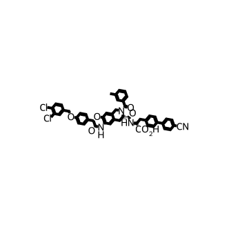 Cc1cccc(C(=O)N2Cc3cc4c(cc3C[C@H]2C(=O)N[C@@H](Cc2ccc(-c3ccc(C#N)cc3)cc2)C(=O)O)NC(=O)C(c2ccc(OCc3ccc(Cl)c(Cl)c3)cc2)O4)c1